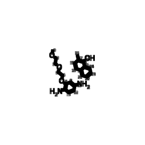 COCCOCCOc1cc(N)ccc1N.Cc1ccc2ccccc2c1O